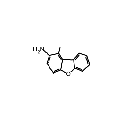 Cc1c(N)ccc2oc3ccccc3c12